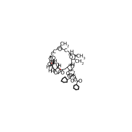 C=C1CC2CC[C@@]34CC5O[C@H]6[C@@H](O3)[C@H]3OC(CC[C@@H]3O[C@H]6[C@H]5O4)CC(=O)CC3[C@H](CC4O[C@@H](CCC1O2)C[C@@H](C)C4=C)O[C@H](C[C@@H](COC(=O)c1ccccc1)OC(=O)c1ccccc1)[C@@H]3OC